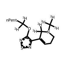 [2H]C([2H])(CCCCC)Oc1nsnc1C1=CCCN(C([2H])([2H])[2H])C1([2H])[2H]